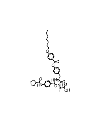 CCCCCCCOc1ccc(C(=O)Oc2ccc(C[C@H](NC(=O)c3ccc(NC(=O)C4CCCC4)cc3)C(=O)N[C@@H](C)C(=O)O)cc2)cc1